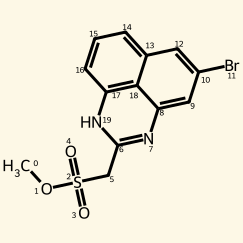 COS(=O)(=O)CC1=Nc2cc(Br)cc3cccc(c23)N1